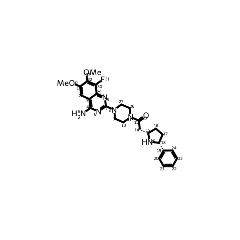 COc1cc2c(N)nc(N3CCN(C(=O)C[C@@H]4CC[C@H](c5ccccc5)N4)CC3)nc2c(F)c1OC